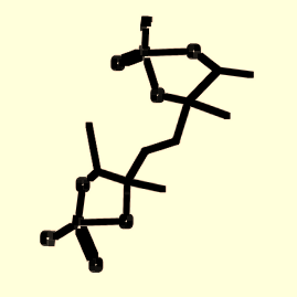 CC1OP(=O)(F)OC1(C)CCC1(C)OP(=O)(Cl)OC1C